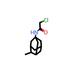 CC1C2CC3CC1CC(NC(=O)CCl)(C3)C2